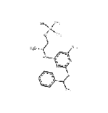 CC(Sc1nc(N)cc(N[C@H](C)CO[Si](C)(C)C(C)(C)C)n1)c1ccccc1